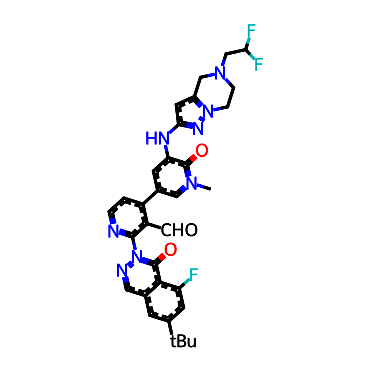 Cn1cc(-c2ccnc(-n3ncc4cc(C(C)(C)C)cc(F)c4c3=O)c2C=O)cc(Nc2cc3n(n2)CCN(CC(F)F)C3)c1=O